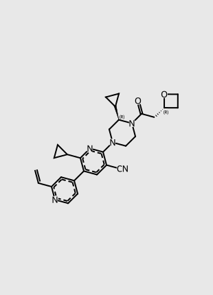 C=Cc1cc(-c2cc(C#N)c(N3CCN(C(=O)C[C@H]4CCO4)[C@H](C4CC4)C3)nc2C2CC2)ccn1